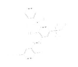 CC(C)(C)CC(C)(C)c1cc(/N=N/c2cc(C(=O)O)ccc2Cl)c(O)c(C(C)(C)c2ccccc2)c1